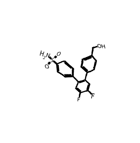 NS(=O)(=O)c1ccc(-c2cc(F)c(F)cc2-c2ccc(CO)cc2)cc1